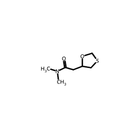 CN(C)C(=O)CC1CSCO1